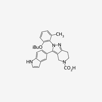 Cc1cccc(OCC(C)C)c1-n1nc2c(c1-c1ccc3[nH]ccc3c1)CN(C(=O)O)CC2